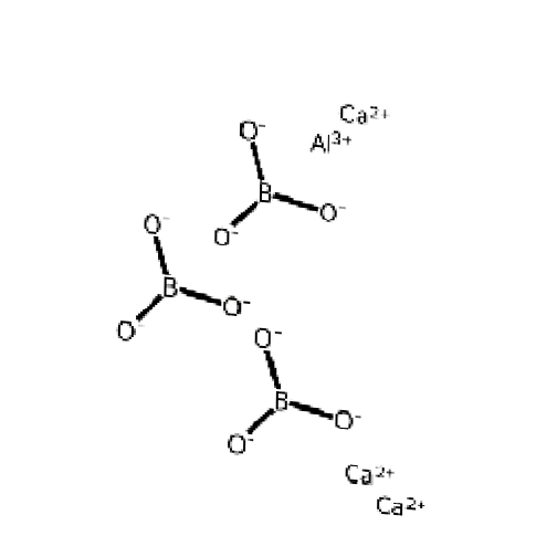 [Al+3].[Ca+2].[Ca+2].[Ca+2].[O-]B([O-])[O-].[O-]B([O-])[O-].[O-]B([O-])[O-]